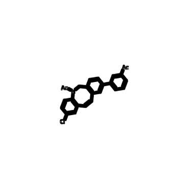 CC(=O)c1cccc(-c2ccc3c(c2)/C=C\c2cc(Cl)ccc2N(C(C)=O)C3)c1